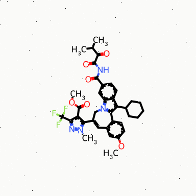 COC(=O)c1c(C(F)(F)F)nn(C)c1C1=Cc2cc(OC)ccc2-c2c(C3CCCCC3)c3ccc(C(=O)NC(=O)C(=O)C(C)C)cc3n2C1